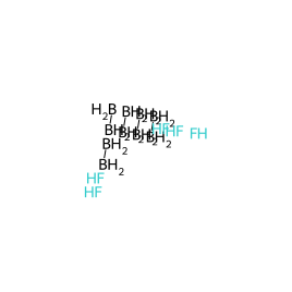 BB.BB.BB.BB.BB.F.F.F.F.F